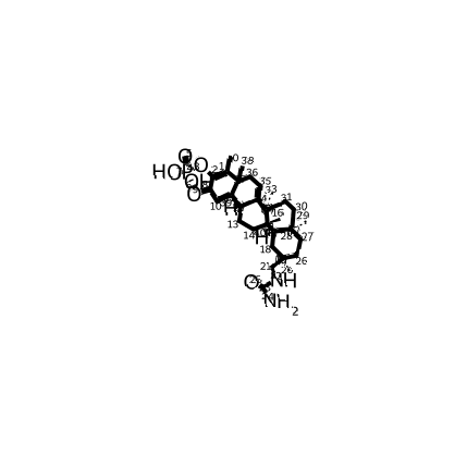 CC1=C(OP(=O)(O)O)C(=O)C=C2[C@@H]3CC[C@@]4(C)[C@@H]5C[C@](C)(CNC(N)=O)CC[C@]5(C)CC[C@]4(C)C3=CCC21C